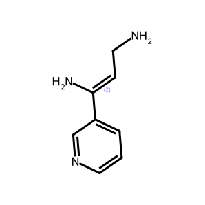 NC/C=C(\N)c1cccnc1